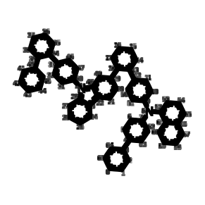 c1ccc(-c2ccc(N(c3ccc(-c4ccccc4-c4ccc5c6ccccc6n(-c6ccc(-c7ccccc7-c7ccccc7)cc6)c5c4)cc3)c3cccc4ccccc34)cc2)cc1